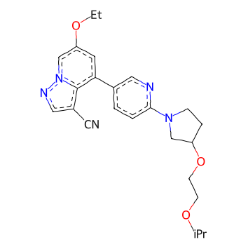 CCOc1cc(-c2ccc(N3CCC(OCCOC(C)C)C3)nc2)c2c(C#N)cnn2c1